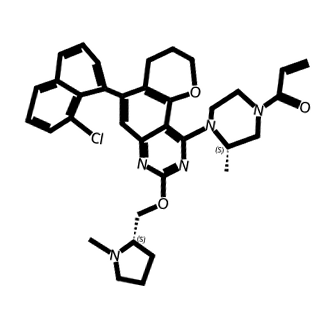 C=CC(=O)N1CCN(c2nc(OC[C@@H]3CCCN3C)nc3cc(-c4cccc5cccc(Cl)c45)c4c(c23)OCCC4)[C@@H](C)C1